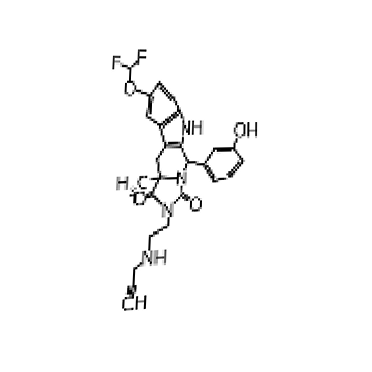 C#CCNCCN1C(=O)N2C(c3cccc(O)c3)c3[nH]c4ccc(OC(F)F)cc4c3CC2(C)C1=O